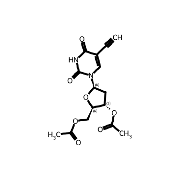 C#Cc1cn([C@H]2C[C@H](OC(C)=O)[C@@H](COC(C)=O)O2)c(=O)[nH]c1=O